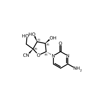 [C-]#[N+][C@]1(CO)O[C@@H](n2ccc(N)nc2=O)[C@H](O)[C@@H]1O